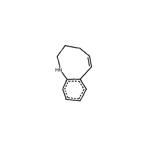 C1=Cc2ccccc2NCCC1